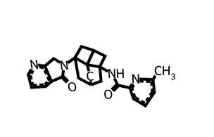 Cc1cccc(C(=O)NC23CC4CC5(N6Cc7ncccc7C6=O)CC(C2)C35C4)n1